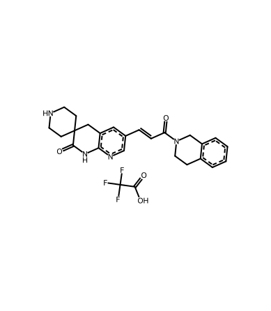 O=C(C=Cc1cnc2c(c1)CC1(CCNCC1)C(=O)N2)N1CCc2ccccc2C1.O=C(O)C(F)(F)F